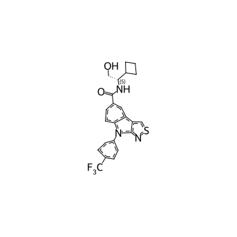 O=C(N[C@H](CO)C1CCC1)c1ccc2c(c1)c1csnc1n2-c1ccc(C(F)(F)F)cc1